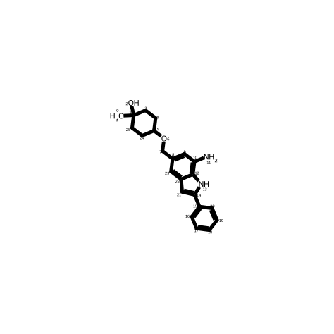 CC1(O)CCC(OCc2cc(N)c3[nH]c(-c4ccccc4)cc3c2)CC1